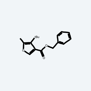 Cc1occ(C(=O)OCc2ccccc2)c1C(C)(C)C